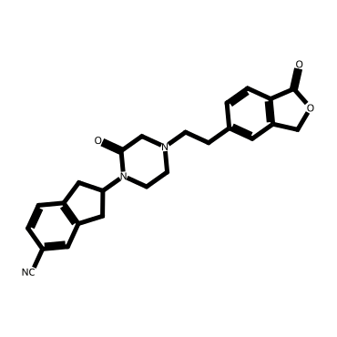 N#Cc1ccc2c(c1)CC(N1CCN(CCc3ccc4c(c3)COC4=O)CC1=O)C2